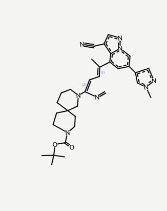 C=N/C(=C\C=C(/C)c1cc(-c2cnn(C)c2)cn2ncc(C#N)c12)N1CCCC2(CCN(C(=O)OC(C)(C)C)CC2)C1